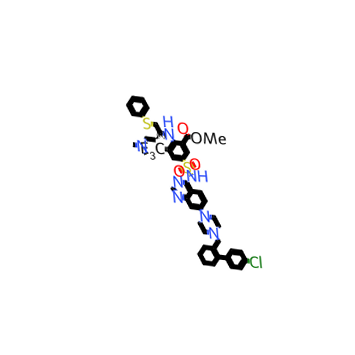 COC(=O)c1cc(S(=O)(=O)Nc2ncnc3cc(N4CCN(CC5=C(c6ccc(Cl)cc6)CCCC5)CC4)ccc23)cc(C(F)(F)F)c1N[C@H](CCN(C)C)CSc1ccccc1